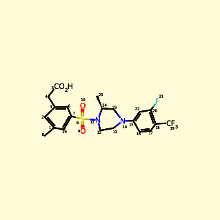 Cc1cc(CC(=O)O)cc(S(=O)(=O)N2CCN(c3ccc(C(F)(F)F)c(F)c3)C[C@@H]2C)c1